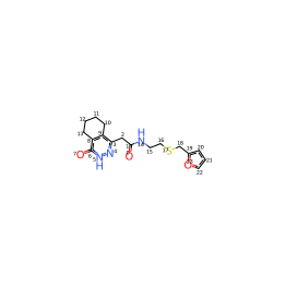 O=C(Cc1n[nH]c(=O)c2c1CCCC2)NCCSCc1ccco1